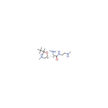 CNCCNC(=O)[C@H](C[C@H](CNC)O[Si](C)(C)C(C)(C)C)NC